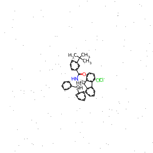 CC(C)(C)c1cccc(C(=O)[NH][Hf+2]([CH]2c3ccccc3-c3ccccc32)[SiH](c2ccccc2)c2ccccc2)c1.[Cl-].[Cl-]